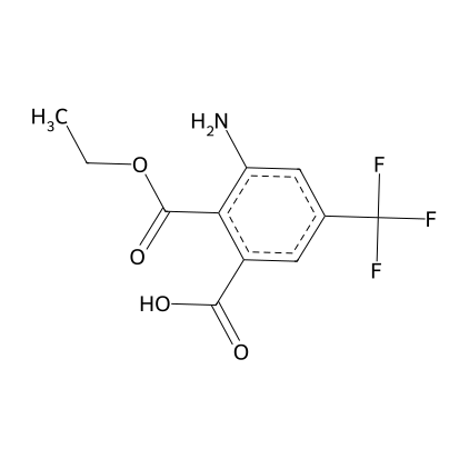 CCOC(=O)c1c(N)cc(C(F)(F)F)cc1C(=O)O